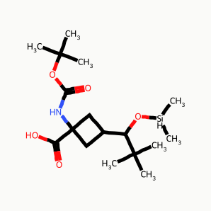 C[SiH](C)OC(C1CC(NC(=O)OC(C)(C)C)(C(=O)O)C1)C(C)(C)C